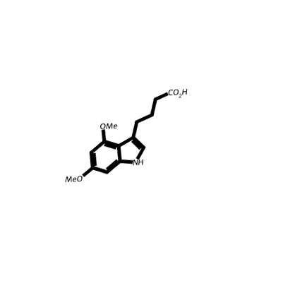 COc1cc(OC)c2c(CCCC(=O)O)c[nH]c2c1